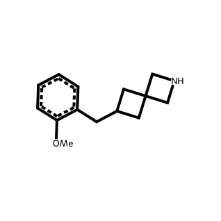 COc1ccccc1CC1CC2(CNC2)C1